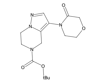 CC(C)(C)OC(=O)N1CCn2ncc(N3CCOCC3=O)c2C1